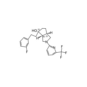 O[C@]1(CCc2cccc(F)c2)CC[C@@H]2CN(c3cccc(C(F)(F)F)n3)C[C@@H]21